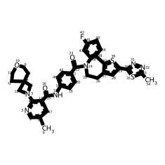 Cc1cnc(N2CC3(CCOCC3)C2)c(C(=O)Nc2ccc(C(=O)N3CCc4cc(-c5nnc(C)s5)sc4-c4ccc(F)cc43)cc2)c1